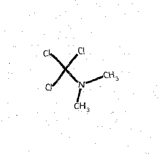 CN(C)C(Cl)(Cl)Cl